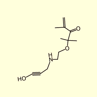 C=C(C)C(=O)C(C)(C)OCCNCC#CO